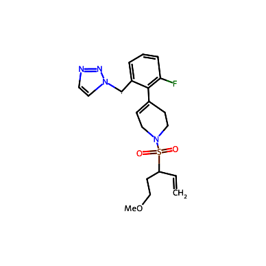 C=CC(CCOC)S(=O)(=O)N1CC=C(c2c(F)cccc2[CH]n2ccnn2)CC1